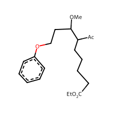 CCOC(=O)CCCCC(C(C)=O)C(CCOc1ccccc1)OC